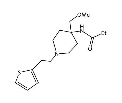 CCC(=O)NC1(COC)CCN(CCc2cccs2)CC1